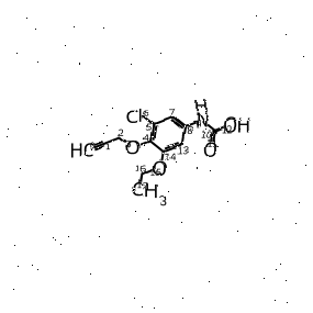 C#CCOc1c(Cl)cc(NC(=O)O)cc1OCC